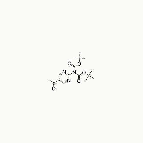 CC(=O)c1cnc(N(C(=O)OC(C)(C)C)C(=O)OC(C)(C)C)nc1